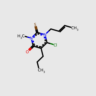 CC=CCn1c(Cl)c(CCC)c(=O)n(C)c1=S